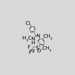 CN/C(=N\c1cc([S+]([O-])CC(F)(F)F)c(C)cc1C)c1ccc(Cl)cc1